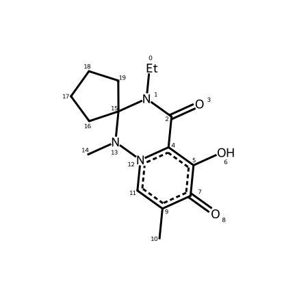 CCN1C(=O)c2c(O)c(=O)c(C)cn2N(C)C12CCCC2